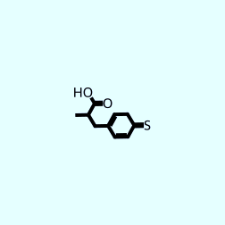 CC(CC1=CCC(=S)C=C1)C(=O)O